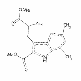 COC(=O)c1[nH]c2c(C)cc(C)cc2c1CC(O)C(=O)OC